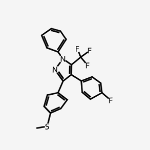 CSc1ccc(-c2nn(-c3ccccc3)c(C(F)(F)F)c2-c2ccc(F)cc2)cc1